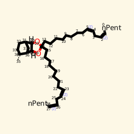 CCCCC/C=C\C/C=C\CCCCCCCCC1(CCCCCCCC/C=C\C/C=C\CCCCC)O[C@@H]2C3CC[C@@H](C)C(C3)[C@@H]2O1